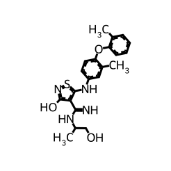 Cc1ccccc1Oc1ccc(Nc2snc(O)c2C(=N)NC(C)CO)cc1C